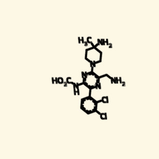 CC1(N)CCN(c2nc(NC(=O)O)c(-c3cccc(Cl)c3Cl)nc2CN)CC1